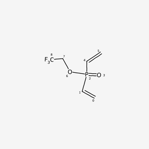 C=CP(=O)(C=C)OCC(F)(F)F